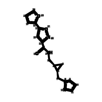 O=C(NC[C@H]1C[C@H]1Cn1cccn1)c1cc(-c2ccco2)on1